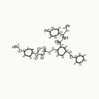 CCCCOc1ccc(S(=O)(=O)NC(=O)CCc2ccc(COc3ccccc3)cc2C(=O)NC(CC(C)C)c2ccc(F)cc2)cc1